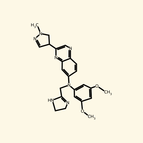 COc1cc(OC)cc(N(CC2=NCCN2)c2ccc3ncc(C4C=NN(C)C4)nc3c2)c1